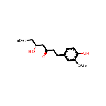 CCCCCCCCCCC[C@@H](O)CC(=O)CCc1ccc(O)c(OC)c1